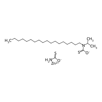 CCCCCCCCCCCCCCCCCCN(C([O-])=S)C(C)C.NC([O-])=S.[Zn+2]